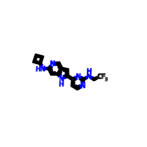 FC(F)(F)CNc1nccc(-c2cc3cnc(NC4CCC4)cc3[nH]2)n1